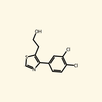 OCCc1s[c]nc1-c1ccc(Cl)c(Cl)c1